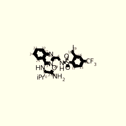 CC(C)[C@H](Nc1nc(CNS(=O)(=O)c2ccc(C(F)(F)F)cc2CI)nc2ccccc12)C(N)=O